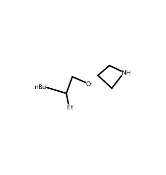 C1CNC1.CCCCC(CC)C[O]